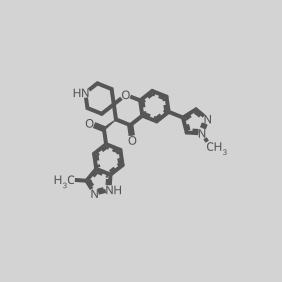 Cc1n[nH]c2ccc(C(=O)[C@@H]3C(=O)c4cc(-c5cnn(C)c5)ccc4OC34CCNCC4)cc12